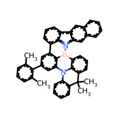 Cc1cccc(C)c1-c1cc2c3c(c1)N1c4ccccc4C(C)(C)c4cccc(c41)B3n1c3cc4ccccc4cc3c3cccc-2c31